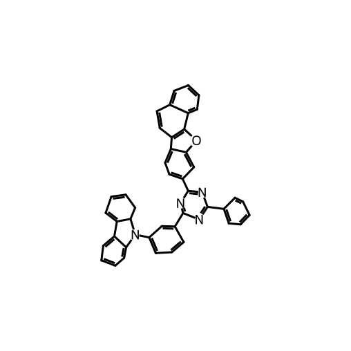 C1=CCC2C(=C1)c1ccccc1N2c1cccc(-c2nc(-c3ccccc3)nc(-c3ccc4c(c3)oc3c5ccccc5ccc43)n2)c1